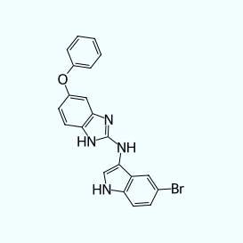 Brc1ccc2[nH]cc(Nc3nc4cc(Oc5ccccc5)ccc4[nH]3)c2c1